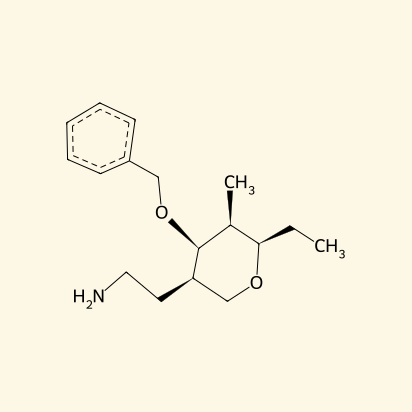 CC[C@H]1OC[C@@H](CCN)[C@@H](OCc2ccccc2)[C@H]1C